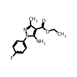 CCOC(=O)c1c(C)nn(-c2ccc(F)cc2)c1N